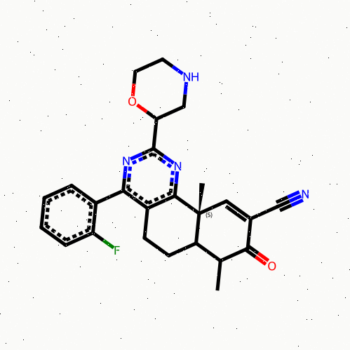 CC1C(=O)C(C#N)=C[C@@]2(C)c3nc(C4CNCCO4)nc(-c4ccccc4F)c3CCC12